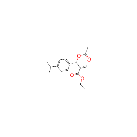 C=C(C(=O)OCC)C(OC(C)=O)c1ccc(C(C)C)cc1